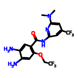 CN(C)c1cc(C(F)(F)F)cc(NC(=O)c2cc(N)c(N)cc2OCC(F)(F)F)n1